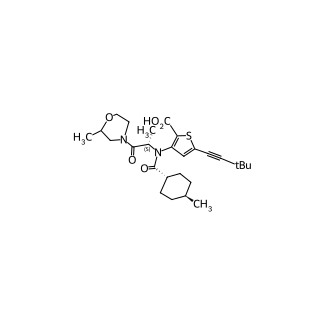 CC1CN(C(=O)[C@H](C)N(c2cc(C#CC(C)(C)C)sc2C(=O)O)C(=O)[C@H]2CC[C@H](C)CC2)CCO1